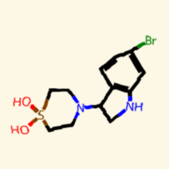 OS1(O)CCN(C2CNc3cc(Br)ccc32)CC1